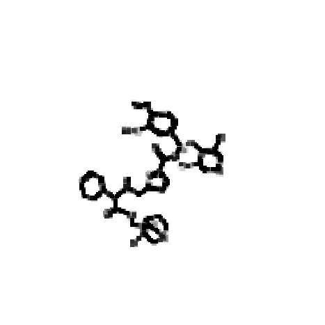 CNc1ccc([C@H](Cc2c(Cl)cncc2Cl)OC(=O)c2ccc(CNC(C(=O)OC[C@@H]3CN4CCC3CC4)C3=CC=CCC3)s2)cc1OC